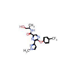 C[C@H](CO)NC(=O)c1cnc(Oc2ccc(C(F)(F)F)cc2)c(-c2ccn(C)n2)n1